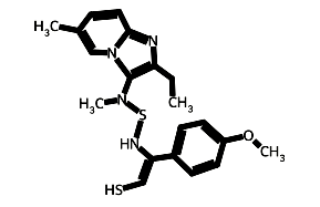 CCc1nc2ccc(C)cn2c1N(C)SN/C(=C\S)c1ccc(OC)cc1